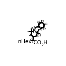 CCCCCCC(C(=O)O)C1CC(C)(C)N(Cc2ccccc2)C(C)(C)C1